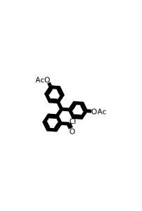 CC(=O)Oc1ccc(C(c2ccc(OC(C)=O)cc2)c2ccccc2C(=O)Cl)cc1